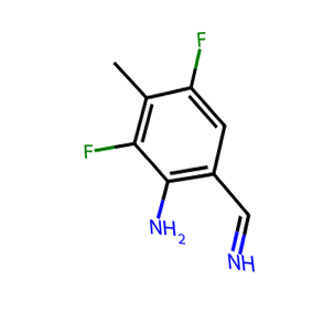 Cc1c(F)cc(C=N)c(N)c1F